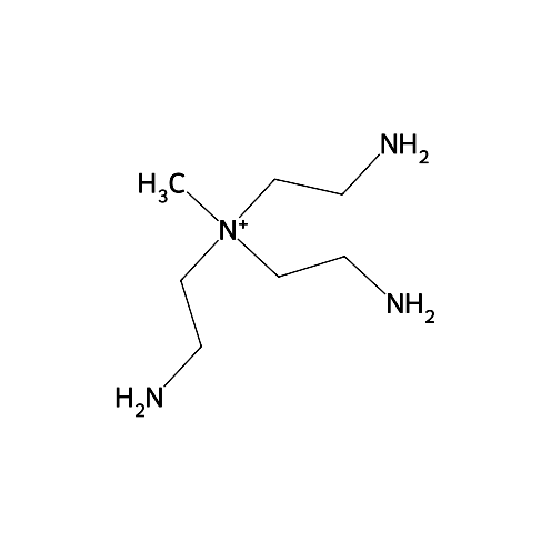 C[N+](CCN)(CCN)CCN